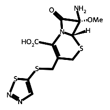 CO[C@@]1(N)C(=O)N2C(C(=O)O)=C(CSc3cnns3)CS[C@H]21